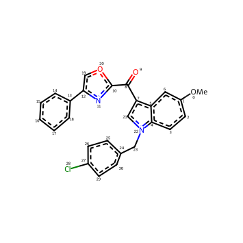 COc1ccc2c(c1)c(C(=O)c1nc(-c3ccccc3)co1)cn2Cc1ccc(Cl)cc1